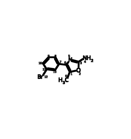 Cc1oc(N)nc1-c1cccc(Br)c1